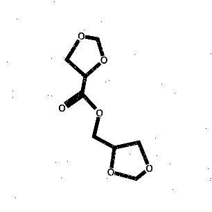 O=C(OCC1COCO1)C1COCO1